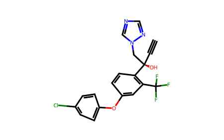 C#C[C@@](O)(Cn1cncn1)c1ccc(Oc2ccc(Cl)cc2)cc1C(F)(F)F